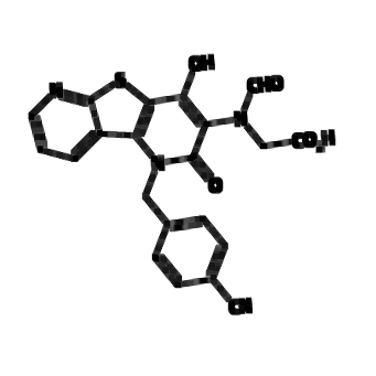 N#Cc1ccc(Cn2c(=O)c(N(C=O)CC(=O)O)c(O)c3sc4ncccc4c32)cc1